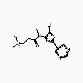 CN(C(=O)CC[S@@+](C)[O-])c1sc(-c2cncnc2)nc1Cl